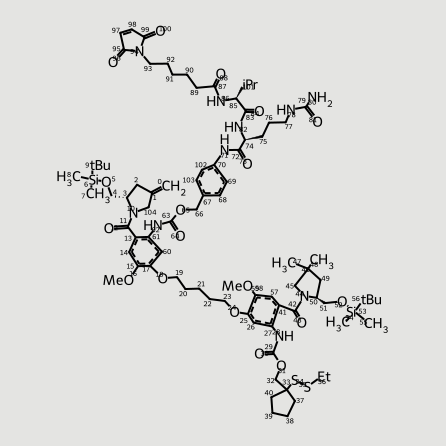 C=C1C[C@@H](CO[Si](C)(C)C(C)(C)C)N(C(=O)c2cc(OC)c(OCCCCCOc3cc(NC(=O)OCC4(SSCC)CCCC4)c(C(=O)N4CC(C)(C)C[C@H]4CO[Si](C)(C)C(C)(C)C)cc3OC)cc2NC(=O)OCc2ccc(NC(=O)[C@H](CCCNC(N)=O)NC(=O)[C@@H](NC(=O)CCCCCN3C(=O)C=CC3=O)C(C)C)cc2)C1